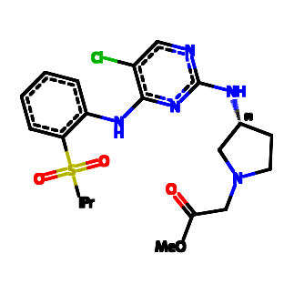 COC(=O)CN1CC[C@@H](Nc2ncc(Cl)c(Nc3ccccc3S(=O)(=O)C(C)C)n2)C1